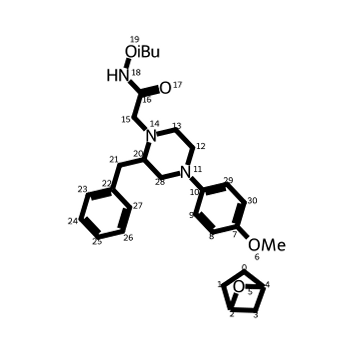 C1CC2CC1O2.COc1ccc(N2CCN(CC(=O)NOCC(C)C)C(Cc3ccccc3)C2)cc1